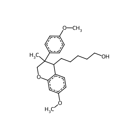 COc1ccc(C2(C)COc3cc(OC)ccc3C2CCCCCO)cc1